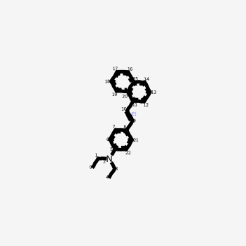 CCN(CC)c1ccc(/C=C/c2cccc3ccccc23)cc1